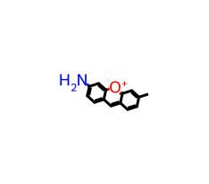 Cc1ccc2cc3ccc(N)cc3[o+]c2c1